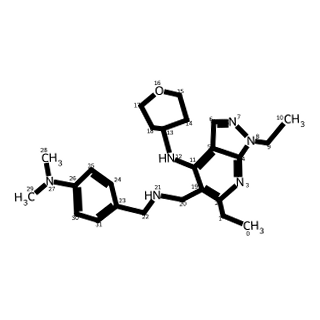 CCc1nc2c(cnn2CC)c(NC2CCOCC2)c1CNCc1ccc(N(C)C)cc1